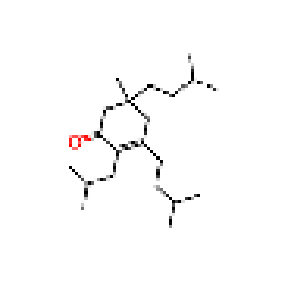 CC(C)CCC1=C(CC(C)C)C(=O)CC(C)(CCC(C)C)C1